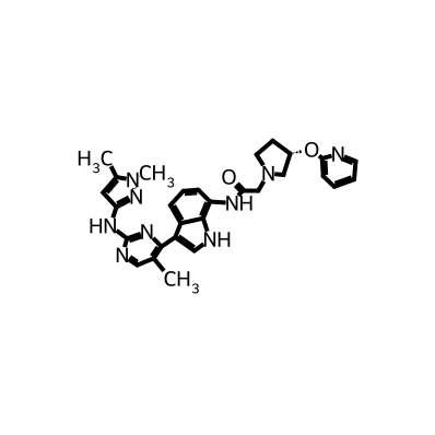 Cc1cnc(Nc2cc(C)n(C)n2)nc1-c1c[nH]c2c(NC(=O)CN3CC[C@H](Oc4ccccn4)C3)cccc12